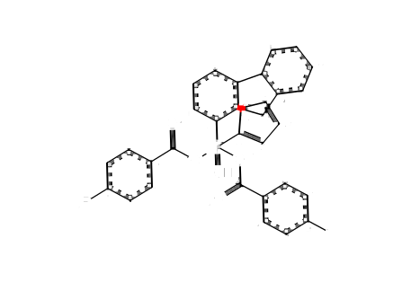 [CH2]=[Ti]([O]C(=O)c1ccc(F)cc1)([O]C(=O)c1ccc(F)cc1)([C]1=CC=CC1)[c]1cccc2c1Cc1ccccc1-2